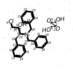 O=S(=O)(O)O.O[C@@H](CCl)[C@H](Cc1ccccc1)N(Cc1ccccc1)Cc1ccccc1